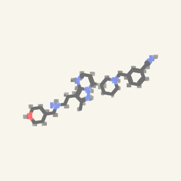 Cc1nn2c([C@H]3CCCN(Cc4cccc(C#N)c4)C3)ccnc2c1CCNCC1CCOCC1